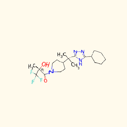 CC(C)(c1nnc(C2CCCCC2)[nH]1)C1CCN(C(=O)[C@@](C)(O)C(F)(F)F)CC1